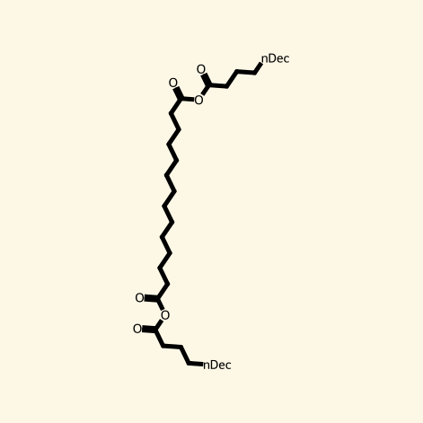 CCCCCCCCCCCCCC(=O)OC(=O)CCCCCCCCCCCCC(=O)OC(=O)CCCCCCCCCCCCC